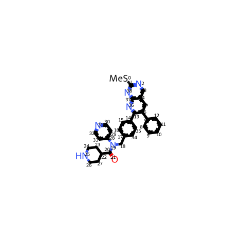 CSc1ncc2cc(-c3ccccc3)c(-c3ccc(CN(C(=O)C4CCNCC4)c4ccncc4)cc3)nc2n1